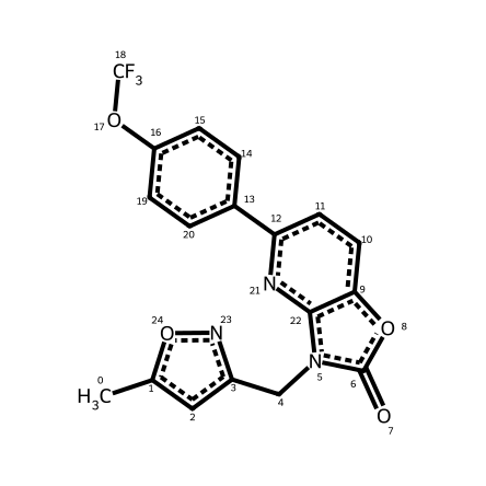 Cc1cc(Cn2c(=O)oc3ccc(-c4ccc(OC(F)(F)F)cc4)nc32)no1